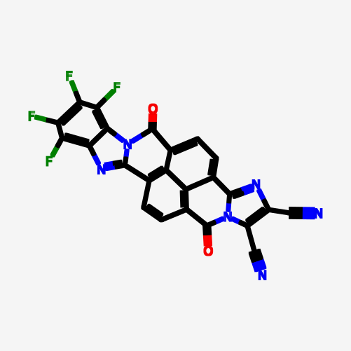 N#Cc1nc2c3ccc4c(=O)n5c(nc6c(F)c(F)c(F)c(F)c65)c5ccc(c(=O)n2c1C#N)c3c45